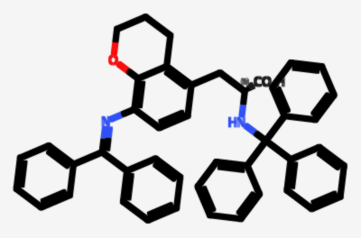 O=C(O)[C@H](Cc1ccc(N=C(c2ccccc2)c2ccccc2)c2c1CCCO2)NC(c1ccccc1)(c1ccccc1)c1ccccc1